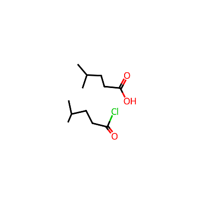 CC(C)CCC(=O)Cl.CC(C)CCC(=O)O